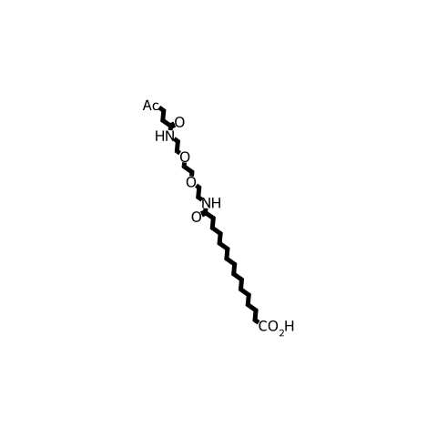 CC(=O)CCC(=O)NCCOCCOCCNC(=O)CCCCCCCCCCCCCCC(=O)O